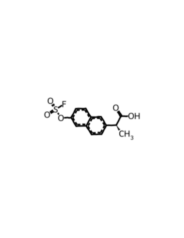 C[C@H](C(=O)O)c1ccc2cc(OS(=O)(=O)F)ccc2c1